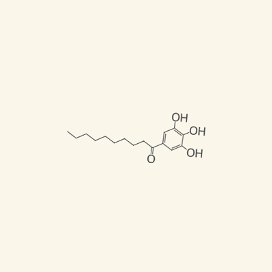 CCCCCCCCCC(=O)c1cc(O)c(O)c(O)c1